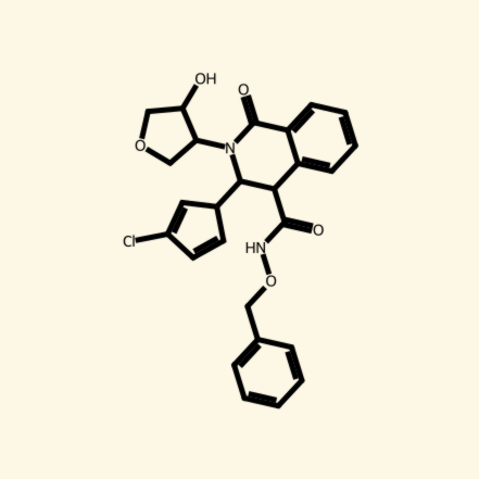 O=C(NOCc1ccccc1)C1c2ccccc2C(=O)N(C2COCC2O)C1C1C=CC(Cl)=C1